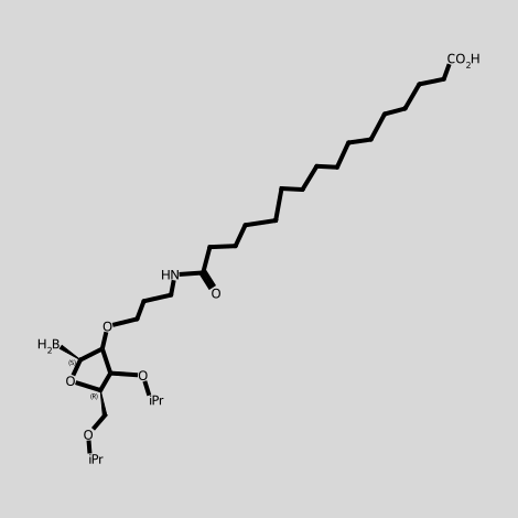 B[C@@H]1O[C@H](COC(C)C)C(OC(C)C)C1OCCCNC(=O)CCCCCCCCCCCCCCC(=O)O